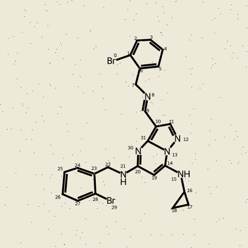 Brc1ccccc1C/N=C/c1cnn2c(NC3CC3)cc(NCc3ccccc3Br)nc12